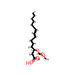 CCCCCCCCCCCC(CC(=O)O)OCOC